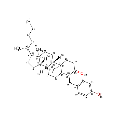 CC(C)CCC[C@@H](C)[C@H]1CC[C@H]2[C@@H]3CCC4[C@H](Cc5ccc(Br)cc5)C(=O)CC[C@]4(C)[C@H]3CC[C@]12C